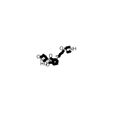 O=C1CCC(N2C(=O)c3cccc(SCCCC(=O)N4CCNCC4)c3C2=O)C(=O)N1